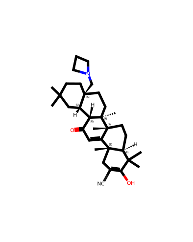 CC1(C)CC[C@]2(CN3CCC3)CC[C@]3(C)[C@H](C(=O)C=C4[C@@]5(C)CC(C#N)=C(O)C(C)(C)[C@@H]5CC[C@]43C)[C@@H]2C1